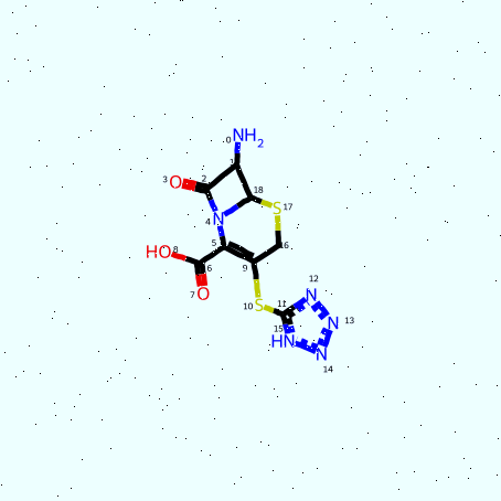 NC1C(=O)N2C(C(=O)O)=C(Sc3nnn[nH]3)CSC12